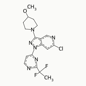 COC1CCN(c2nn(-c3ccnc(C(C)(F)F)n3)c3cc(Cl)ncc23)CC1